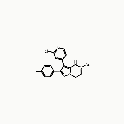 CC(=O)N1CCn2nc(-c3ccc(F)cc3)c(-c3ccnc(Cl)c3)c2N1